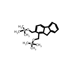 C[Si](C)(C)OCc1ccc2c(c1CO[Si](C)(C)C)Cc1ccccc1-2